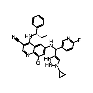 CC[C@H](Nc1c(C#N)cnc2c(Cl)cc(NC(C3=CN(C4CC4)NN3)c3ccc(F)nc3)cc12)c1ccccc1